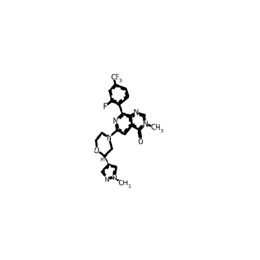 Cn1cc([C@@H]2CN(c3cc4c(=O)n(C)cnc4c(-c4ccc(C(F)(F)F)cc4F)n3)CCO2)cn1